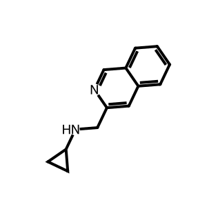 c1ccc2cc(CNC3CC3)ncc2c1